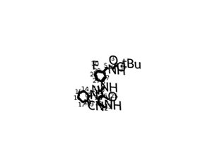 CC(C)(C)OC(=O)NCc1cc(Nc2nn([C@H]3CCCC[C@@H]3C#N)c3cc[nH]c(=O)c23)ccc1F